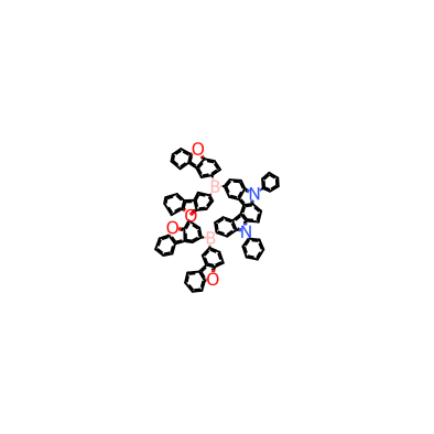 c1ccc(-n2c3ccc(B(c4ccc5oc6ccccc6c5c4)c4ccc5oc6ccccc6c5c4)cc3c3c4c5ccc(B(c6ccc7oc8ccccc8c7c6)c6ccc7oc8ccccc8c7c6)cc5n(-c5ccccc5)c4ccc32)cc1